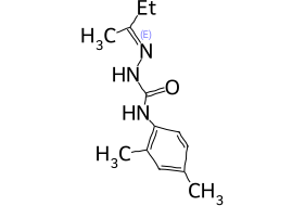 CC/C(C)=N/NC(=O)Nc1ccc(C)cc1C